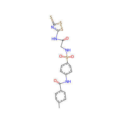 Cc1ccc(C(=O)Nc2ccc(S(=O)(=O)NCC(=O)Nc3nc(=S)ss3)cc2)cc1